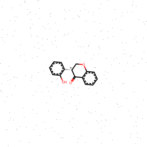 O=C1c2ccccc2OC[C@H]1c1ccccc1O